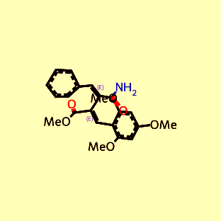 COC(=O)C(=C/c1c(OC)cc(OC)cc1OC)/C(=C\c1ccccc1)C(N)=O